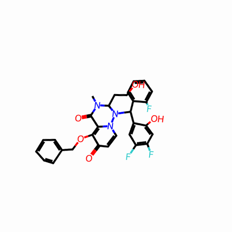 CN1C(=O)c2c(OCc3ccccc3)c(=O)ccn2N(C(c2cc(F)c(F)cc2O)c2ccccc2F)C1CCO